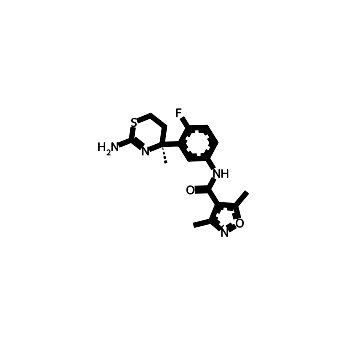 Cc1noc(C)c1C(=O)Nc1ccc(F)c([C@]2(C)CCSC(N)=N2)c1